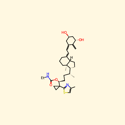 C=C1/C(=C\C=C2/CCC[C@]3(C)[C@@H]([C@H](C)CC[C@H](OC(=O)NCC)C4(c5nc(C)cs5)CC4)CC[C@@H]23)C[C@@H](O)C[C@@H]1O